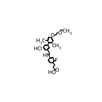 CCOCCOc1cc(C)c(-c2cccc(CNc3ccc(CCC(=O)O)c(F)c3)c2)c(C)c1.Cl